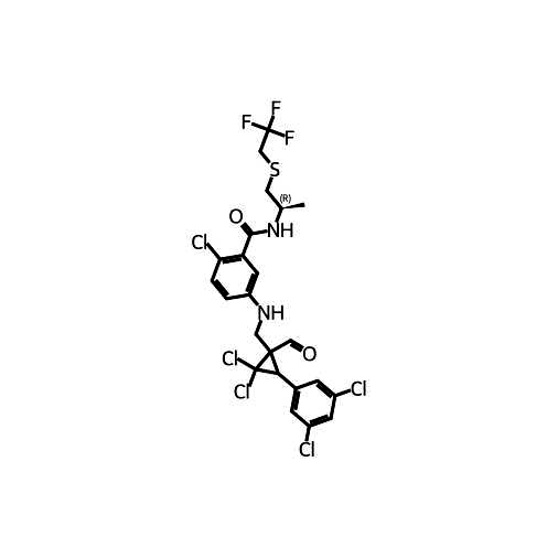 C[C@H](CSCC(F)(F)F)NC(=O)c1cc(NCC2(C=O)C(c3cc(Cl)cc(Cl)c3)C2(Cl)Cl)ccc1Cl